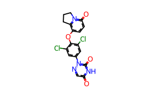 O=c1cnn(-c2cc(Cl)c(Oc3ccc(=O)n4c3CCC4)c(Cl)c2)c(=O)[nH]1